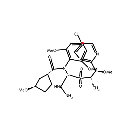 COc1cccc(OC)c1N(C(=O)[C@@H]1CC[C@@H](OC)C1)N(C(=N)N)S(=O)(=O)[C@@H](C)[C@H](OC)c1ncc(Cl)cn1